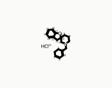 C1=CCCC(CN2CCCC3(Cc4ccccc4O3)C2)=C1.Cl